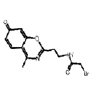 Cc1nc(CCNC(=O)CBr)oc2cc(=O)ccc1-2